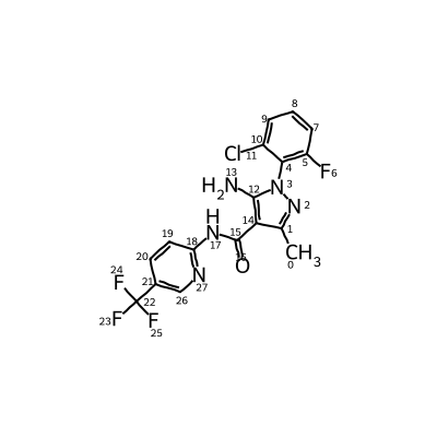 Cc1nn(-c2c(F)cccc2Cl)c(N)c1C(=O)Nc1ccc(C(F)(F)F)cn1